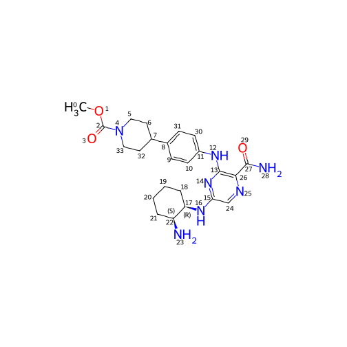 COC(=O)N1CCC(c2ccc(Nc3nc(N[C@@H]4CCCC[C@@H]4N)cnc3C(N)=O)cc2)CC1